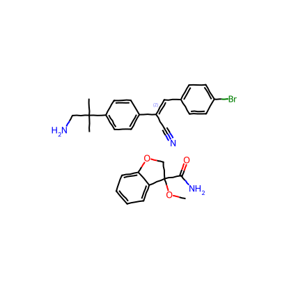 CC(C)(CN)c1ccc(/C(C#N)=C/c2ccc(Br)cc2)cc1.COC1(C(N)=O)COc2ccccc21